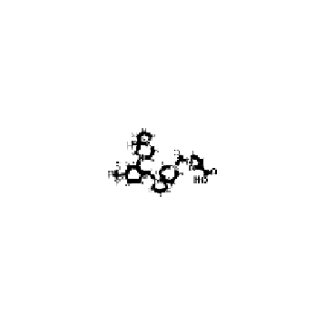 O=C(O)c1ccn(C(=O)N2CCC3(CCCN3Cc3ccc(C(F)(F)F)cc3N3CCN4CCC[C@H]4C3)CC2)n1